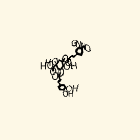 O=Nc1ccc(/C=C/C(=O)OC2C[C@@](O)(C(=O)O)C[C@@H](OC(=O)/C=C/c3ccc(O)c(O)c3)[C@@H]2O)cc1N=O